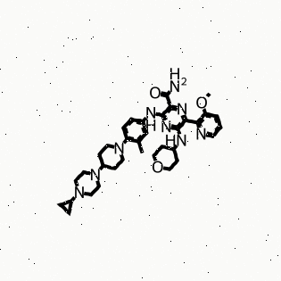 COc1cccnc1-c1nc(C(N)=O)c(Nc2ccc(N3CCC(N4CCN(C5CC5)CC4)CC3)c(C)c2)nc1NC1CCOCC1